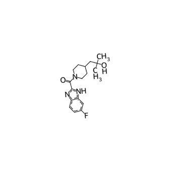 CC(C)(O)CC1CCN(C(=O)c2nc3ccc(F)cc3[nH]2)CC1